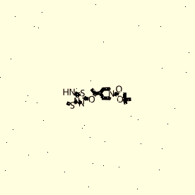 CSn1nc(OC(C)C2CCN(C(=O)OC(C)(C)C)CC2)sc1=N